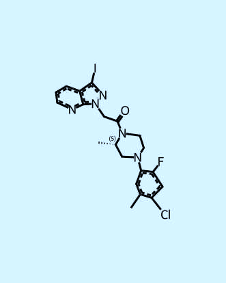 Cc1cc(N2CCN(C(=O)Cn3nc(I)c4cccnc43)[C@@H](C)C2)c(F)cc1Cl